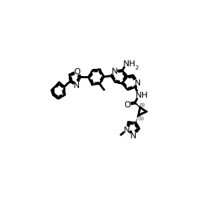 Cc1cc(-c2nc(-c3ccccc3)co2)ccc1-c1cc2cc(NC(=O)[C@H]3C[C@@H]3c3cnn(C)c3)ncc2c(N)n1